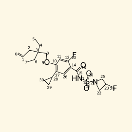 C=CCC(CC)(CC)COc1cc(F)c(C(=O)NS(=O)(=O)N2CC(F)C2)cc1C1CC1